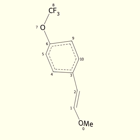 COC=Cc1ccc(OC(F)(F)F)cc1